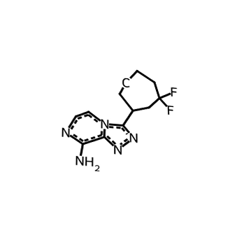 Nc1nccn2c(C3CCCCC(F)(F)C3)nnc12